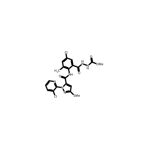 COC(=O)NNC(=O)c1cc(Cl)cc(C)c1NC(=O)c1cc(SC)nn1-c1ncccc1Cl